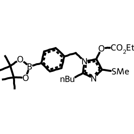 CCCCc1nc(SC)c(OC(=O)OCC)n1Cc1ccc(B2OC(C)(C)C(C)(C)O2)cc1